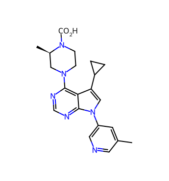 Cc1cncc(-n2cc(C3CC3)c3c(N4CCN(C(=O)O)[C@H](C)C4)ncnc32)c1